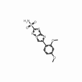 COc1ccc(-c2cn3nc(S(N)(=O)=O)sc3n2)c(OC)c1